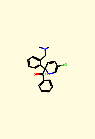 CN(C)Cc1ccccc1C1(C(=O)c2ccccc2)C=CC(Cl)=CN1